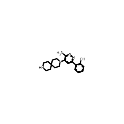 Nc1nnc(-c2ccccc2O)cc1N1CCC2(CCNCC2)CC1